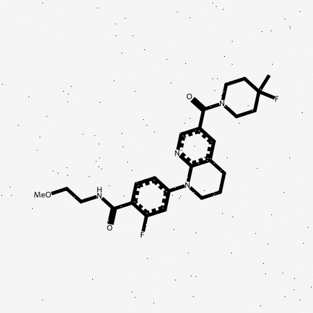 COCCNC(=O)c1ccc(N2CCCc3cc(C(=O)N4CCC(C)(F)CC4)cnc32)cc1F